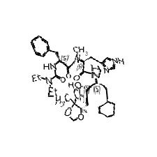 CCN(CC)C(=O)N[C@@H](Cc1ccccc1)C(=O)N(C)[C@@H](Cc1c[nH]cn1)C(=O)N[C@@H](CC1CCCCC1)[C@@H](O)C[C@@H]1OCOC1(C)C